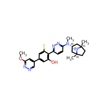 COc1cc(-c2cc(O)c(-c3ccc(N(C)[C@@H]4C[C@]5(C)CC[C@](C)(C4)N5)nn3)c(F)c2)cnn1